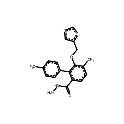 Cc1ccc(C(=O)NN)c(-c2ccc(C(F)(F)F)cc2)c1OCc1cncs1